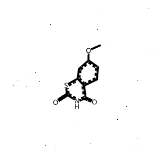 COc1ccc2c(=O)[nH]c(=O)sc2c1